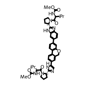 COC(=O)NC(C(=O)N1CCC[C@H]1c1nc2ccc(-c3ccc4c(c3)OCc3cc(-c5cnc([C@@H]6CCCN6C(=O)[C@@H](NC(=O)OC)C(C)C)[nH]5)ccc3-4)cc2[nH]1)C(C)C